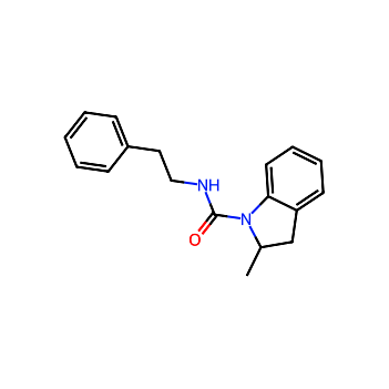 CC1Cc2ccccc2N1C(=O)NCCc1ccccc1